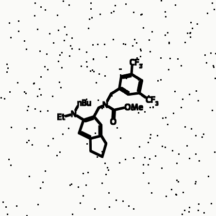 CCCCN(CC)c1cc2c(cc1CN(Cc1cc(C(F)(F)F)cc(C(F)(F)F)c1)C(=O)OC)CCC2